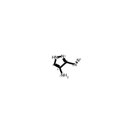 [N]=Nc1n[nH]cc1N